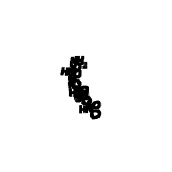 NCC(=O)NC(=O)Oc1ccc(C(=O)NS(=O)(=O)c2ccc(C(=O)NC3CCCCC3)cc2)cn1